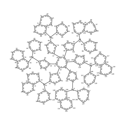 c1ccc(N(c2ccc(-c3c(-c4ccc(N(c5ccccc5)c5cccc6ccccc56)s4)c(-c4ccc(N(c5ccccc5)c5cccc6ccccc56)s4)c(-c4ccc(N(c5ccccc5)c5cccc6ccccc56)s4)c(-c4ccc(N(c5ccccc5)c5cccc6ccccc56)s4)c3-c3ccc(N(c4ccccc4)c4cccc5ccccc45)s3)s2)c2cccc3ccccc23)cc1